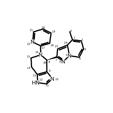 Cc1cccn2nc([C@H]3c4nc[nH]c4CCN3c3ccccn3)cc12